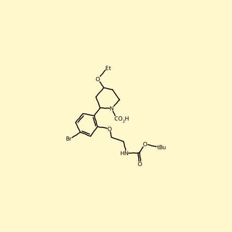 CCOC1CCN(C(=O)O)C(c2ccc(Br)cc2OCCNC(=O)OC(C)(C)C)C1